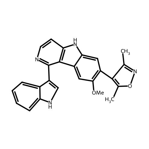 COc1cc2c(cc1-c1c(C)noc1C)[nH]c1ccnc(-c3c[nH]c4ccccc34)c12